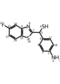 Nc1ccc(C(S)c2nc3cc(F)ccc3s2)cc1